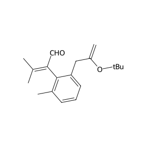 C=C(Cc1cccc(C)c1C(C=O)=C(C)C)OC(C)(C)C